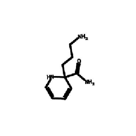 NCCCC1(C(N)=O)C=CC=CN1